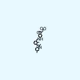 COC(=O)C[C@@H]1COc2cc(NCc3cccc(-n4c(C)nc5cc(C)ccc54)c3C)ccc21